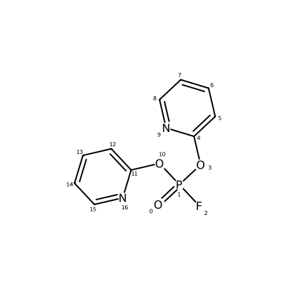 O=P(F)(Oc1ccccn1)Oc1ccccn1